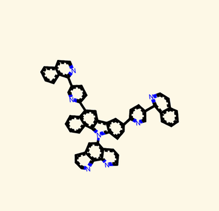 c1ccc2c(-c3ccc(-c4ccc5c(c4)c4cc(-c6ccc(-c7nccc8ccccc78)cn6)c6ccccc6c4n5-c4cc5cccnc5c5ncccc45)nc3)nccc2c1